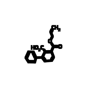 C=CCOC(=O)c1cccc(-c2ccccc2)c1C(=O)O